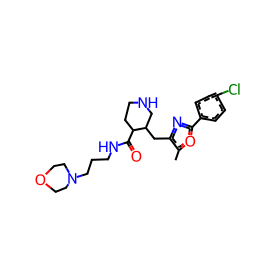 Cc1oc(-c2ccc(Cl)cc2)nc1CC1CNCCC1C(=O)NCCCN1CCOCC1